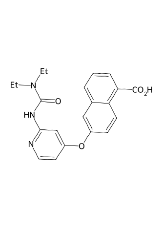 CCN(CC)C(=O)Nc1cc(Oc2ccc3c(C(=O)O)cccc3c2)ccn1